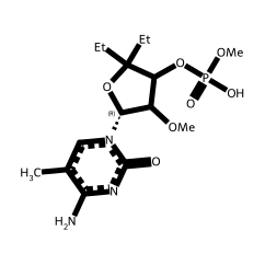 CCC1(CC)O[C@@H](n2cc(C)c(N)nc2=O)C(OC)C1OP(=O)(O)OC